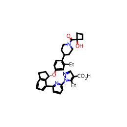 CCc1cc(O[C@H]2CCc3cccc(-c4cccc(-n5ncc(C(=O)O)c5CC)n4)c32)ccc1C1CCN(C(=O)C2(O)CCC2)CC1